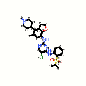 Cc1cc(Nc2ncc(Cl)c(Nc3ccccc3S(=O)(=O)C(C)C)n2)c2c(c1C1CCN(C)CC1)CCO2